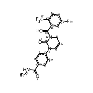 CC(C)NC(=O)c1ccc(N2C=CCN(C(=O)c3cc(F)ccc3C(F)(F)F)C2=O)nc1